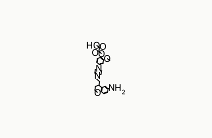 COc1cc(N2CCN(CCC3CCOc4ccc(N)cc43)CC2)ccc1OC(=O)C(=O)O